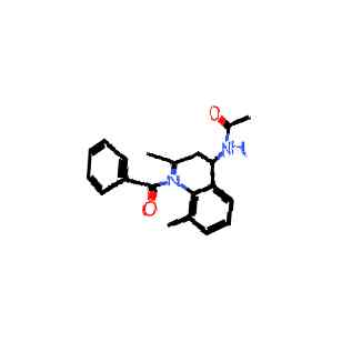 CC(=O)NC1CC(C)N(C(=O)c2ccccc2)c2c(C)cccc21